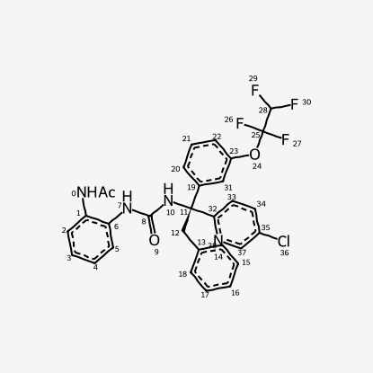 CC(=O)Nc1ccccc1NC(=O)N[C@](Cc1ccccc1)(c1cccc(OC(F)(F)C(F)F)c1)c1ccc(Cl)cn1